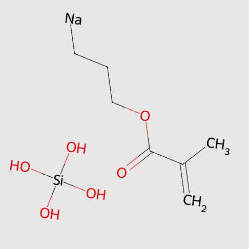 C=C(C)C(=O)OCC[CH2][Na].O[Si](O)(O)O